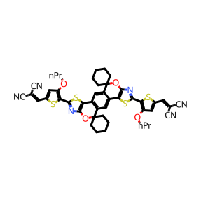 CCCOc1cc(C=C(C#N)C#N)sc1-c1nc2c(s1)-c1cc3c(cc1C1(CCCCC1)O2)-c1sc(-c2sc(C=C(C#N)C#N)cc2OCCC)nc1OC31CCCCC1